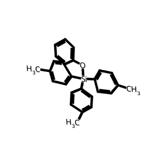 Cc1ccc([Si](Oc2ccccc2)(c2ccc(C)cc2)c2ccc(C)cc2)cc1